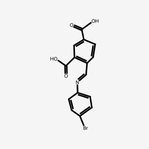 O=C(O)c1ccc(C=Nc2ccc(Br)cc2)c(C(=O)O)c1